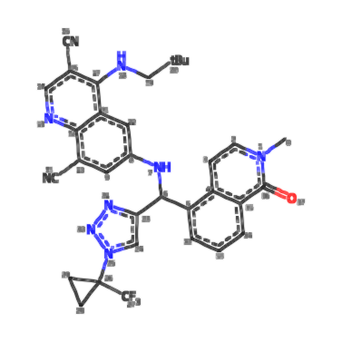 Cn1ccc2c(C(Nc3cc(C#N)c4ncc(C#N)c(NCC(C)(C)C)c4c3)c3cn(C4(C(F)(F)F)CC4)nn3)cccc2c1=O